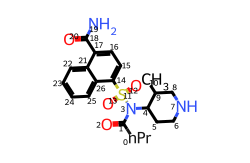 CCCC(=O)N(C1CCNCC1C)S(=O)(=O)c1ccc(C(N)=O)c2ccccc12